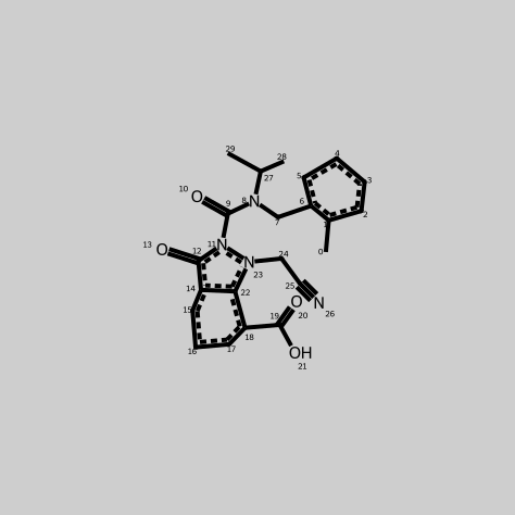 Cc1ccccc1CN(C(=O)n1c(=O)c2cccc(C(=O)O)c2n1CC#N)C(C)C